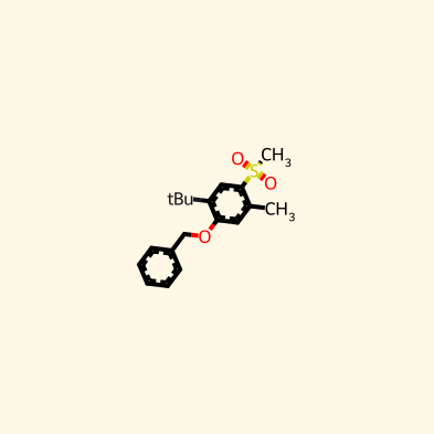 Cc1cc(OCc2ccccc2)c(C(C)(C)C)cc1S(C)(=O)=O